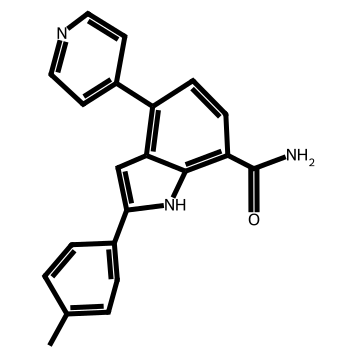 Cc1ccc(-c2cc3c(-c4ccncc4)ccc(C(N)=O)c3[nH]2)cc1